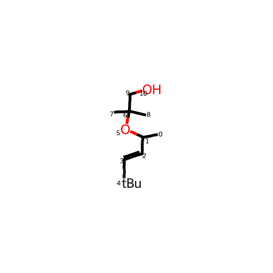 CC(C=CC(C)(C)C)OC(C)(C)CO